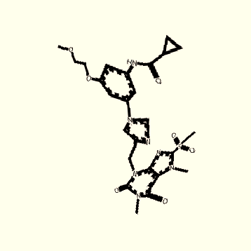 COCCOc1cc(NC(=O)C2CC2)cc(-n2cnc(Cn3c(=O)n(C)c(=O)c4c3nc(S(C)(=O)=O)n4C)c2)c1